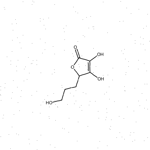 O=C1OC(CCCO)C(O)=C1O